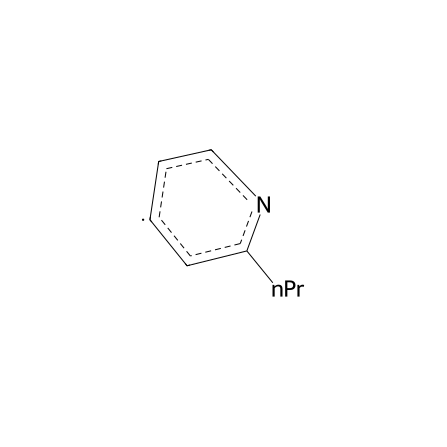 CCCc1c[c]ccn1